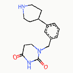 O=C1CCN(Cc2cccc(C3CCNCC3)c2)C(=O)N1